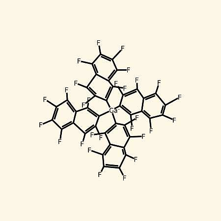 Fc1c(F)c(F)c2c(F)[c]([Ga-]([c]3c(F)c(F)c4c(F)c(F)c(F)c(F)c4c3F)([c]3c(F)c(F)c4c(F)c(F)c(F)c(F)c4c3F)[c]3c(F)c(F)c4c(F)c(F)c(F)c(F)c4c3F)c(F)c(F)c2c1F